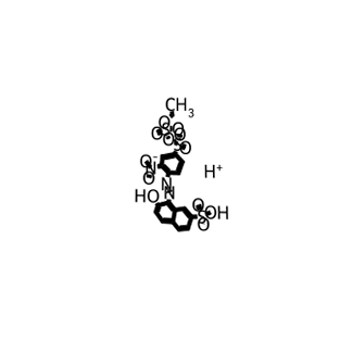 CCOS(=O)(=O)OS(=O)(=O)c1ccc(N=Nc2c(O)ccc3ccc(S(=O)(=O)O)cc23)c([N+](=O)[O-])c1.[H+]